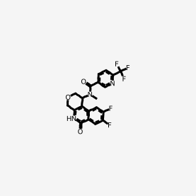 CN(C(=O)c1ccc(C(F)(F)F)nc1)C1COCc2[nH]c(=O)c3cc(F)c(F)cc3c21